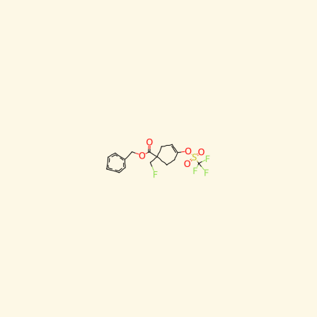 O=C(OCc1ccccc1)C1(CF)CC=C(OS(=O)(=O)C(F)(F)F)CC1